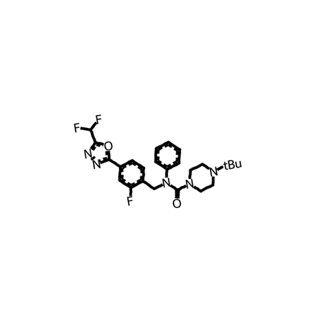 CC(C)(C)N1CCN(C(=O)N(Cc2ccc(-c3nnc(C(F)F)o3)cc2F)c2ccccc2)CC1